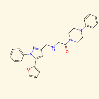 O=C(CNCc1cc(-c2ccco2)n(-c2ccccc2)n1)N1CCN(c2ccccc2)CC1